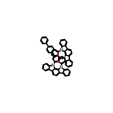 c1ccc(-c2ccc(-c3cc(-n4c5ccccc5c5ccc6c7ccccc7n(-c7ccccc7)c6c54)cc(-n4c5ccccc5c5ccc6c7ccccc7n(-c7ccccc7)c6c54)c3)cc2)cc1